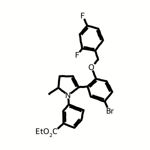 CCOC(=O)c1cccc(N2C(c3cc(Br)ccc3OCc3ccc(F)cc3F)=CCC2C)c1